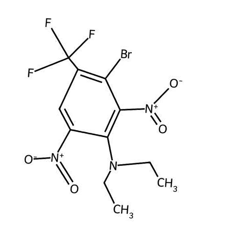 CCN(CC)c1c([N+](=O)[O-])cc(C(F)(F)F)c(Br)c1[N+](=O)[O-]